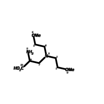 COCCN(CCOC)CC(N)C(=O)O